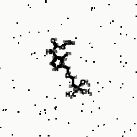 CC(C)(C)OC(=O)Nc1cnn(COCCS(C)(C)C)c1I